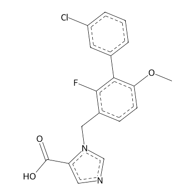 COc1ccc(Cn2cncc2C(=O)O)c(F)c1-c1cccc(Cl)c1